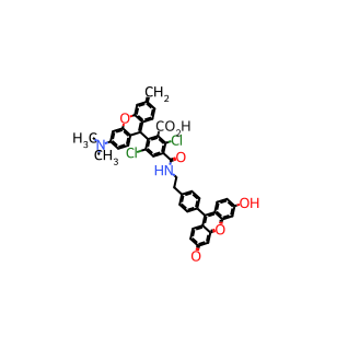 C=c1ccc2c(c1)Oc1cc(N(C)C)ccc1C=2c1c(Cl)cc(C(=O)NCCc2ccc(-c3c4ccc(=O)cc-4oc4cc(O)ccc34)cc2)c(Cl)c1C(=O)O